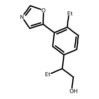 CCc1ccc(C(CC)CO)cc1-c1cnco1